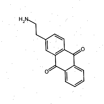 NCCc1ccc2c(c1)C(=O)c1ccccc1C2=O